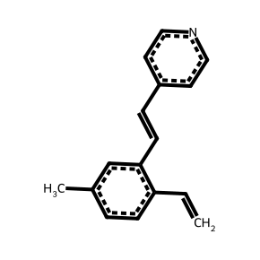 C=Cc1ccc(C)cc1/C=C/c1ccncc1